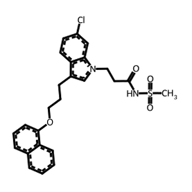 CS(=O)(=O)NC(=O)CCn1cc(CCCOc2cccc3ccccc23)c2ccc(Cl)cc21